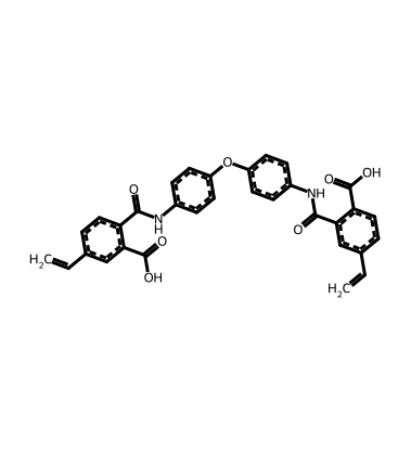 C=Cc1ccc(C(=O)Nc2ccc(Oc3ccc(NC(=O)c4cc(C=C)ccc4C(=O)O)cc3)cc2)c(C(=O)O)c1